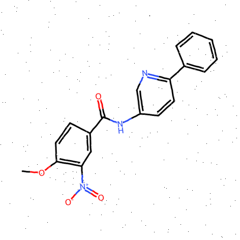 COc1ccc(C(=O)Nc2ccc(-c3ccccc3)nc2)cc1[N+](=O)[O-]